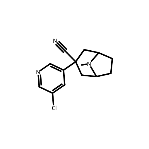 CN1C2CCC1CC(C#N)(c1cncc(Cl)c1)C2